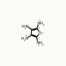 Nc1oc(N)c(N)c1N